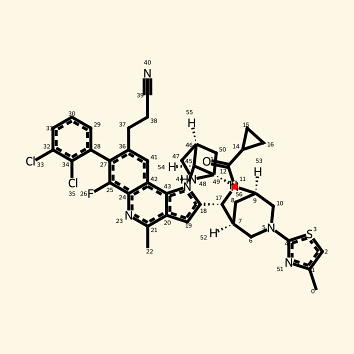 Cc1csc(N2C[C@@H]3C[C@H](C2)N(C(=O)C2CC2)[C@H]3c2cc3c(C)nc4c(F)c(-c5cccc(Cl)c5Cl)c(CCC#N)cc4c3n2[C@H]2[C@H]3CN[C@@H]2C3)n1